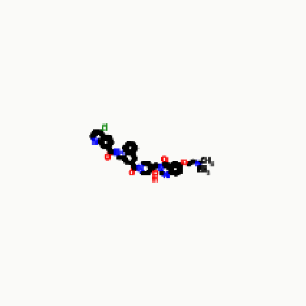 CN(C)CCOc1ccc2ncn(CC3(O)CCN(C(=O)C(CCCNC(=O)c4ccc5c(Cl)ccnc5c4)Cc4ccccc4)CC3)c(=O)c2c1